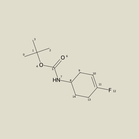 CC(C)(C)OC(=O)NC1CC=C(F)CC1